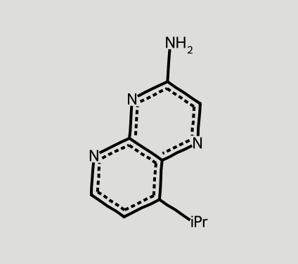 CC(C)c1ccnc2nc(N)cnc12